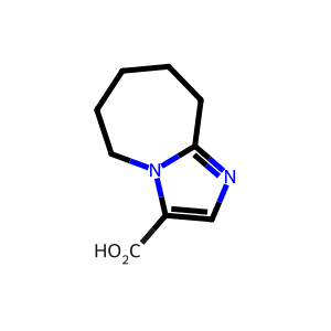 O=C(O)c1cnc2n1CCCCC2